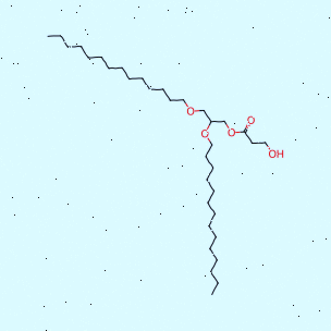 CCCCCCCCCCCCCCOCC(COC(=O)CCO)OCCCCCCCCCCCCCC